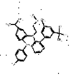 COCCN(c1cc(C(C)C)ccc1Nc1ccc(C)cc1)c1ccccc1-c1cc(C)cc(C(C)(C)C)c1